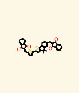 CC1(C)c2cc(C=C3C(=O)c4ccccc4C3=O)ccc2-c2sc(-c3ccc(C=C4C(=O)c5ccccc5C4=O)s3)cc21